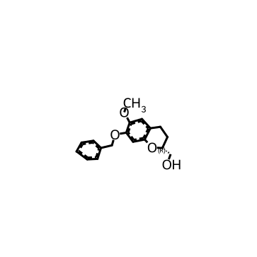 COc1cc2c(cc1OCc1ccccc1)O[C@@H](CO)CC2